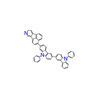 c1ccc(-n2c3ccccc3c3cc(-c4ccc5c(c4)c4ccc(-c6ccc7c8c(cccc68)-c6ccncc6-7)cc4n5-c4ccccc4)ccc32)cc1